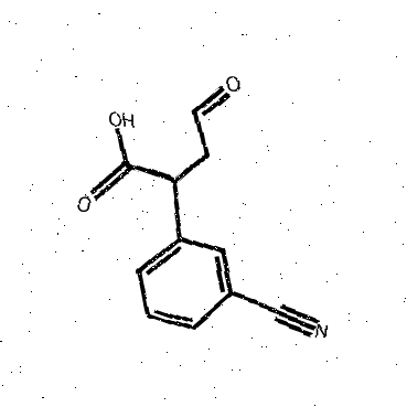 N#Cc1cccc(C(CC=O)C(=O)O)c1